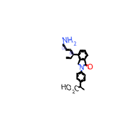 C=C/C(=C\C=C/N)c1cccc2c1CN(c1ccc(C(C)C(=O)O)cc1)C2=O